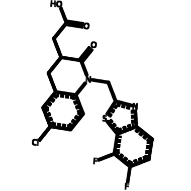 O=C(O)CC1Cc2cc(Cl)ccc2N(Cc2nc3ccc(F)c(F)c3s2)C1=O